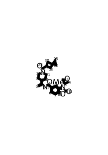 C=C(/N=C(\OC)c1ccc2oc(=O)n(C3COC3)c2c1)C1CCN(C(=O)C2CC3(CC3)C2)CC1